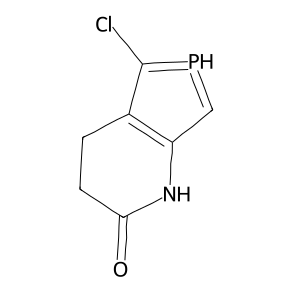 O=C1CCC2=C(C=[PH]=C2Cl)N1